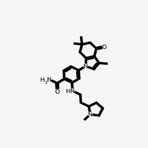 Cc1cn(-c2ccc(C(N)=O)c(NCCC3CCCN3C)c2)c2c1C(=O)CC(C)(C)C2